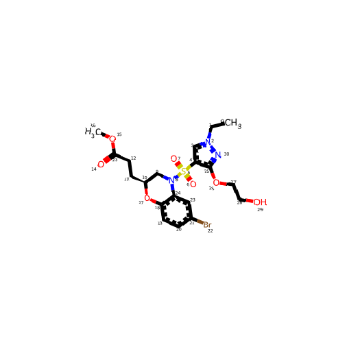 CCn1cc(S(=O)(=O)N2C[C@H](CCC(=O)OC)Oc3ccc(Br)cc32)c(OCCO)n1